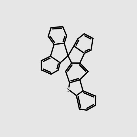 c1ccc2c(c1)-c1ccccc1C21c2ccccc2-c2cc3c(cc21)sc1ccccc13